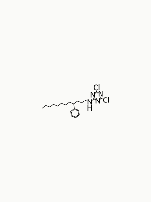 CCCCCCCCC(CCCNc1nc(Cl)nc(Cl)n1)c1ccccc1